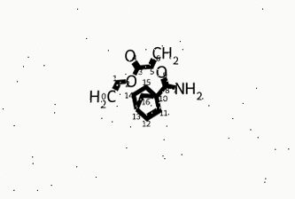 C=COC(=O)C=C.NC(=O)C12C=CC(CC1)C2